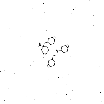 O=C(O)C1(CC2CCC3OC3C2)CCC2OC2C1.O=C(OCC1CCC2OC2C1)C1CCC2OC2C1